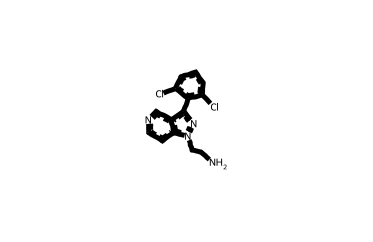 NCCn1nc(-c2c(Cl)cccc2Cl)c2cnccc21